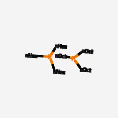 CCCCCCCCP(CCCCCCCC)CCCCCCCC.CCCCCCP(CCCCCC)CCCCCC